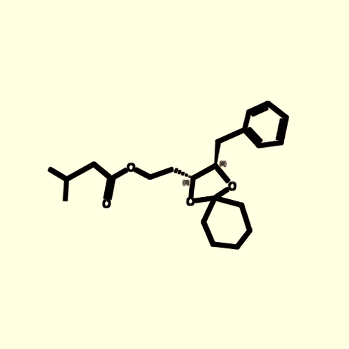 CC(C)CC(=O)OCC[C@H]1OC2(CCCCC2)O[C@@H]1Cc1ccccc1